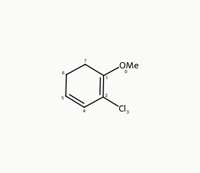 COC1=C(Cl)C=CCC1